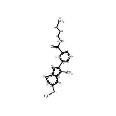 Cc1c(-c2cncc(C(=O)NCCCN)n2)[nH]c2ccc(OC(F)(F)F)cc12